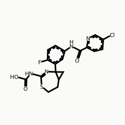 O=C(O)NC1=NC2(c3cc(NC(=O)c4ccc(Cl)cn4)ccc3F)CC2CCS1